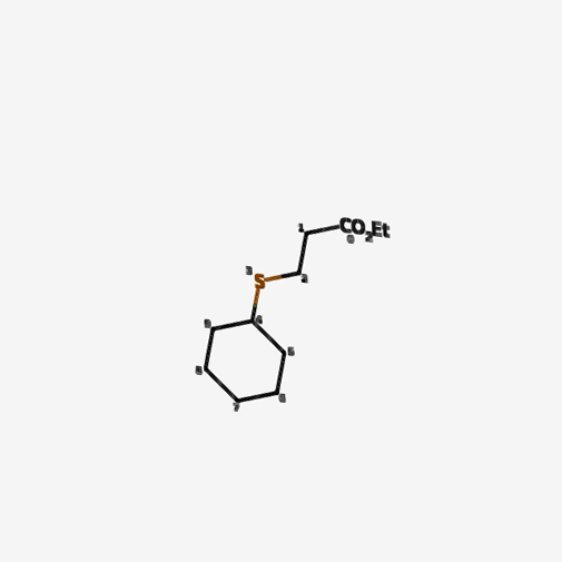 CCOC(=O)CCSC1CCCCC1